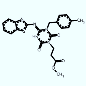 COC(=O)CCn1c(=O)[nH]/c(=N\c2nc3ccccc3s2)n(Cc2ccc(C)cc2)c1=O